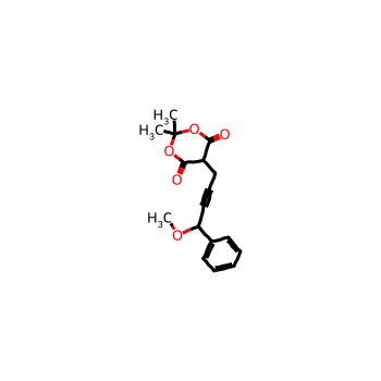 COC(C#CCC1C(=O)OC(C)(C)OC1=O)c1ccccc1